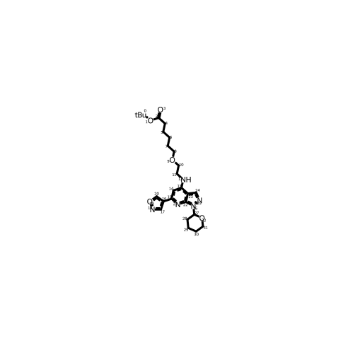 CC(C)(C)OC(=O)CCCCCOCCNc1cc(-c2cnoc2)nc2c1cnn2C1CCCCO1